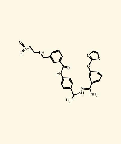 CC(N/N=C(\N)c1cccc(Oc2nccs2)c1)c1ccc(NC(=O)c2cccc(CNCC[SH](=O)=O)c2)cc1